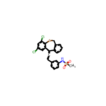 CS(=O)(=O)Nc1cccc(C=C=C2c3ccccc3CSc3c(Cl)cc(Cl)cc32)c1